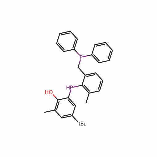 Cc1cc(C(C)(C)C)cc(Pc2c(C)cccc2CP(c2ccccc2)c2ccccc2)c1O